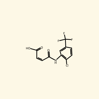 O=C(O)/C=C\C(=O)Nc1cc(C(F)(F)F)ccc1Cl